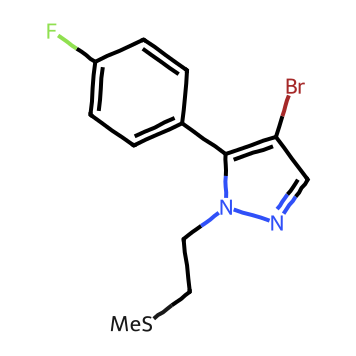 CSCCn1ncc(Br)c1-c1ccc(F)cc1